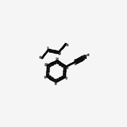 CC=CC.N#Cc1ccccc1